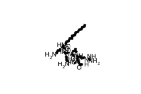 CCCCCCCCCCCCCC(=O)N[C@@H](CCCCN)C(=O)N[C@@H](CCCCN)C(=O)N[C@@H](CC(C)C)C(=O)N[C@@H](CCCNC(=N)N)C(=O)N[C@@H](CO)C(C)=O